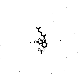 C=C1C=C[C@@H](OC(C)=O)CC12CC(=O)O[C@@H]2CC(C)CCCC(C)C